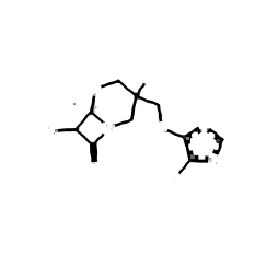 CCc1ncsc1SCC1(C(=O)O)CS[C@@H]2C(N)C(=O)N2C1